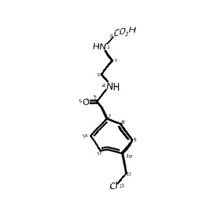 O=C(O)NCCNC(=O)c1ccc(CCl)cc1